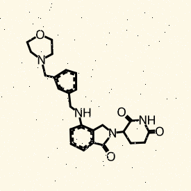 O=C1CCC(N2Cc3c(NCc4cccc(CN5CCOCC5)c4)cccc3C2=O)C(=O)N1